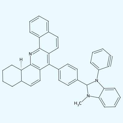 CN1c2ccccc2N(c2c#cccc2)C1c1ccc(-c2c3c(nc4c2ccc2ccccc24)[C@@H]2CCCCC2C=C3)cc1